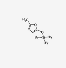 Cc1ccc(O[Si](C(C)C)(C(C)C)C(C)C)o1